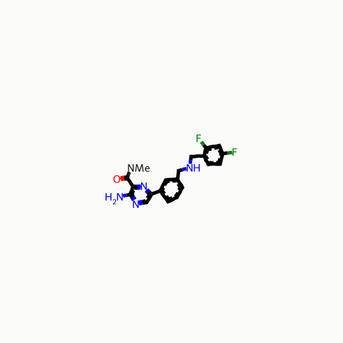 CNC(=O)c1nc(-c2cccc(CNCc3ccc(F)cc3F)c2)cnc1N